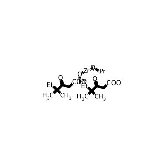 CC(C)[O][Zr+2][O]C(C)C.CCC(C)(C)C(=O)CC(=O)[O-].CCC(C)(C)C(=O)CC(=O)[O-]